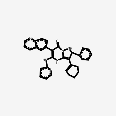 O=C1C(c2ccc3ncccc3c2)=C(Nc2ccccn2)NC2=C(C3=CCCCC3)C(c3ccccc3)NN12